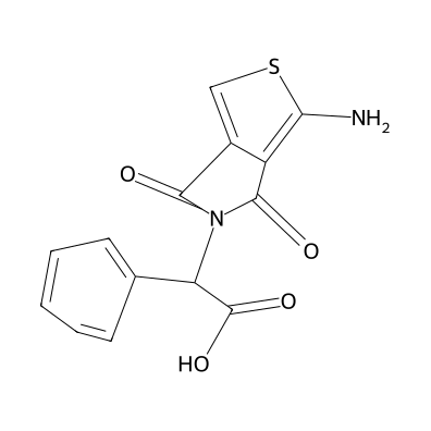 Nc1scc2c1C(=O)N(C(C(=O)O)c1ccccc1)C2=O